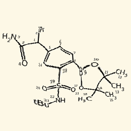 CC(C)C(C(N)=O)c1ccc(B2OC(C)(C)C(C)(C)O2)c(S(=O)(=O)NC(C)(C)C)c1